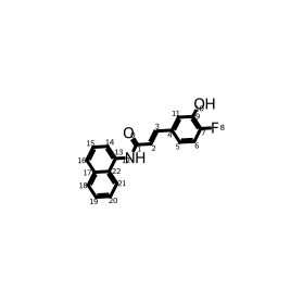 O=C(C=Cc1ccc(F)c(O)c1)Nc1cccc2ccccc12